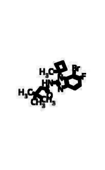 CC(C)(C)CC(=O)Nc1nc2ccc(F)c(Br)c2n1C1(C)CCC1